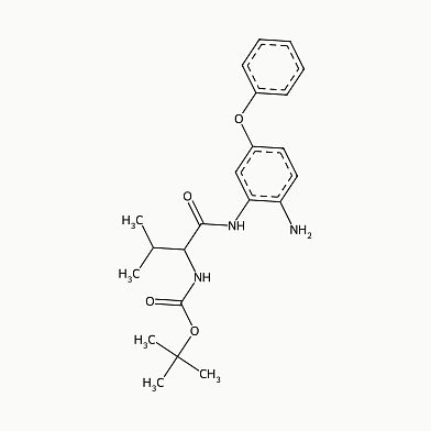 CC(C)C(NC(=O)OC(C)(C)C)C(=O)Nc1cc(Oc2ccccc2)ccc1N